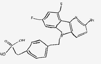 CC(C)c1ccc2c(n1)c1c(F)cc(F)cc1n2Cc1ccc(CP(=O)(O)O)cc1